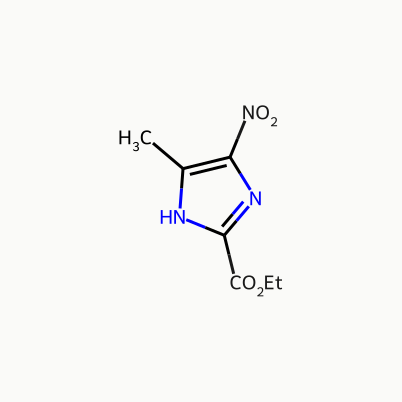 CCOC(=O)c1nc([N+](=O)[O-])c(C)[nH]1